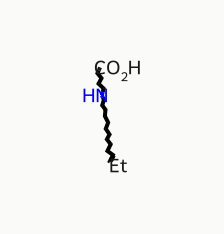 CCC=CCCCCCCCCCCNCCCCC(=O)O